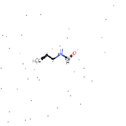 C=CCN[SiH]=O